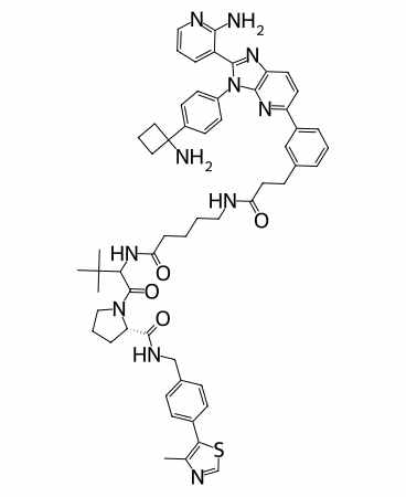 Cc1ncsc1-c1ccc(CNC(=O)[C@@H]2CCCN2C(=O)C(NC(=O)CCCCNC(=O)CCc2cccc(-c3ccc4nc(-c5cccnc5N)n(-c5ccc(C6(N)CCC6)cc5)c4n3)c2)C(C)(C)C)cc1